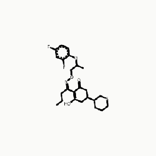 CCCC(=NOCC(C)Oc1ccc(F)cc1F)C1=C(O)CC(C2CCCSC2)CC1=O